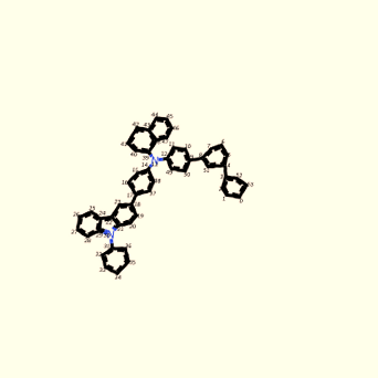 c1ccc(-c2cccc(-c3ccc(N(c4ccc(-c5ccc6c(c5)c5ccccc5n6-c5ccccc5)cc4)c4cccc5ccccc45)cc3)c2)cc1